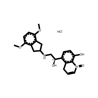 COc1ccc(OC)c2c1CC(NC[C@H](O)c1ccc(O)c3c1CC=C[N+]3=O)C2.Cl